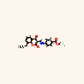 CCc1cccc2c1OC(=O)C(=CNc1ccc(C(=O)OC)cc1)C2=O